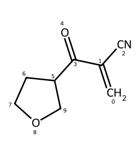 C=C(C#N)C(=O)C1CCOC1